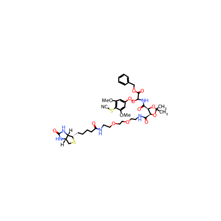 COc1cc(OOC(NC(=O)[C@H]2OC(C)(C)O[C@H]2C(=O)NCCOCCOCCNC(=O)CCCC[C@@H]2SC[C@@H]3NC(=O)N[C@@H]32)C(=O)OCc2ccccc2)cc(OC)c1SC#N